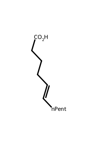 CCCCCC=CCCCC(=O)O